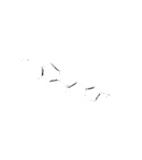 COc1ccc(C(=Cc2cc(C)cs2)C(=O)O)cc1